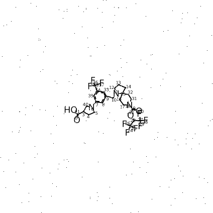 O=C(O)C1CCN(c2cc(CN3CCCC34CCN(C(=O)OC(C(F)(F)F)C(F)(F)F)CC4)cc(C(F)(F)F)c2)C1